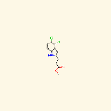 COC(=O)CCc1cc2c(Cl)c(Cl)ccc2[nH]1